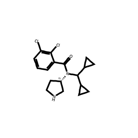 O=C(c1cccc(Cl)c1Cl)N(C(C1CC1)C1CC1)[C@H]1CCNC1